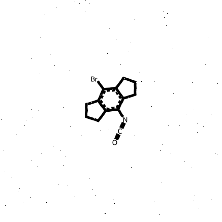 O=C=Nc1c2c(c(Br)c3c1CCC3)CCC2